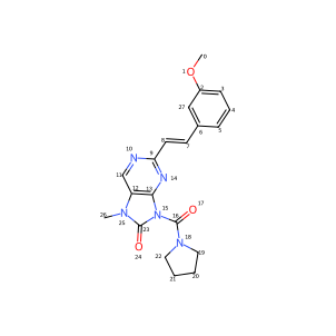 COc1cccc(C=Cc2ncc3c(n2)n(C(=O)N2CCCC2)c(=O)n3C)c1